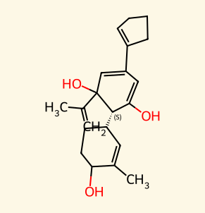 C=C(C)C1(O)C=C(C2=CCCC2)C=C(O)[C@@H]1C1C=C(C)C(O)CC1